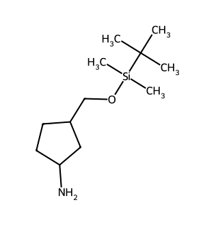 CC(C)(C)[Si](C)(C)OCC1CCC(N)C1